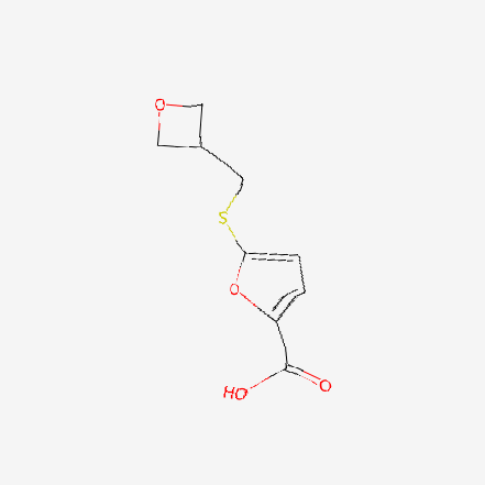 O=C(O)c1ccc(SCC2COC2)o1